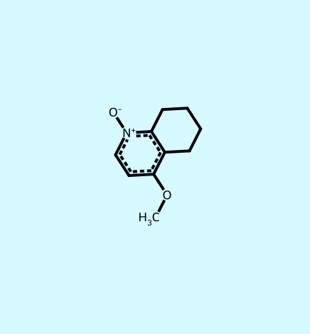 COc1cc[n+]([O-])c2c1CCCC2